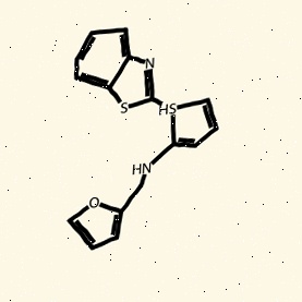 C1=C[SH](c2nc3ccccc3s2)C(NCc2ccco2)=C1